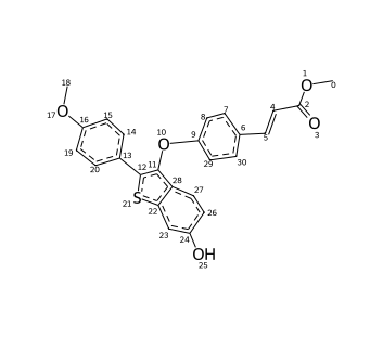 COC(=O)C=Cc1ccc(Oc2c(-c3ccc(OC)cc3)sc3cc(O)ccc23)cc1